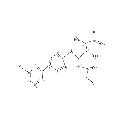 CCC(=O)NC(Cc1ccc(-c2cc(Cl)cc(Cl)c2)cc1)C(O)C(O)C(=O)O